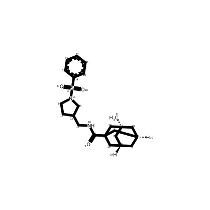 C[C@]12C[C@@H]3C[C@@H](CC(C(=O)NCC4CCN(S(=O)(=O)c5ccccc5)C4)(C3)C1)C2